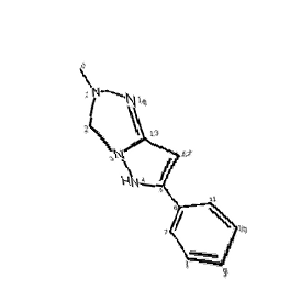 CN1CN2NC(c3ccccc3)=CC2=N1